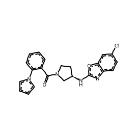 O=C(c1ccccc1-n1cccc1)N1CC[C@@H](Nc2nc3ccc(Cl)cc3o2)C1